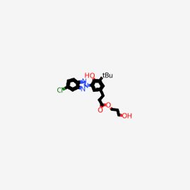 CC(C)(C)c1cc(CCC(=O)OCCCO)cc(-n2nc3ccc(Cl)cc3n2)c1O